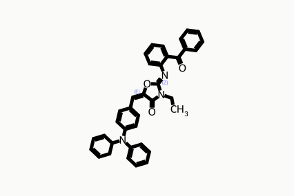 CCN1C(=O)/C(=C\c2ccc(N(c3ccccc3)C3C=CC=CC3)cc2)O/C1=N\c1ccccc1C(=O)c1ccccc1